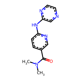 CN(C)C(=O)c1ccc(Nc2cnccn2)nc1